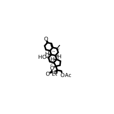 CCC(=O)O[C@]1(C(=O)COC(C)=O)CC[C@H]2[C@@H]3C[C@H](C)C4=CC(=O)CC[C@]4(C)[C@H]3[C@@H](O)C[C@@]21C